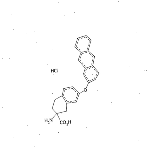 Cl.NC1(C(=O)O)CCc2ccc(Oc3ccc4cc5ccccc5cc4c3)cc2C1